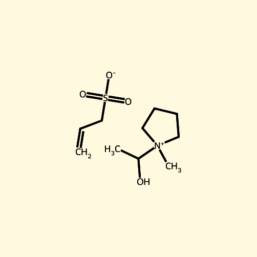 C=CCS(=O)(=O)[O-].CC(O)[N+]1(C)CCCC1